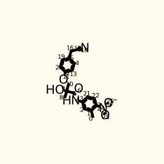 Cc1cc(NC(=O)C(C)(O)COc2ccc(CC#N)cc2)ccc1[N+](=O)[O-]